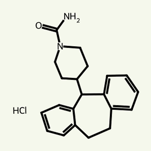 Cl.NC(=O)N1CCC(C2c3ccccc3CCc3ccccc32)CC1